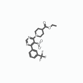 CCOC(=O)C1CCN(c2ncnc(-c3cccc(C(F)(F)F)c3)c2[N+](=O)[O-])CC1